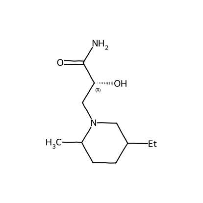 CCC1CCC(C)N(C[C@@H](O)C(N)=O)C1